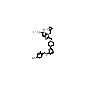 N#CC1C=C(F)C(COc2cccc(C3CCN(Cc4nc5cc(C(=O)O)[nH]c5n4CC4CCO4)CC3)n2)=CC1